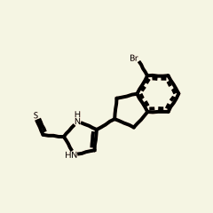 S=CC1NC=C(C2Cc3cccc(Br)c3C2)N1